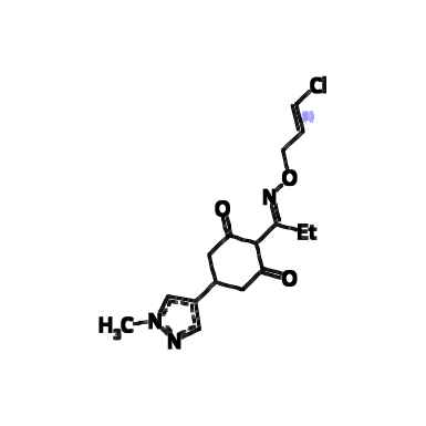 CCC(=NOC/C=C/Cl)C1C(=O)CC(c2cnn(C)c2)CC1=O